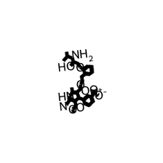 COC(=O)C1=C(C#N)NC(C)=C(C(=O)OCCc2ccccc2OCC(O)C(N)C(C)C)C1c1cccc([N+](=O)[O-])c1